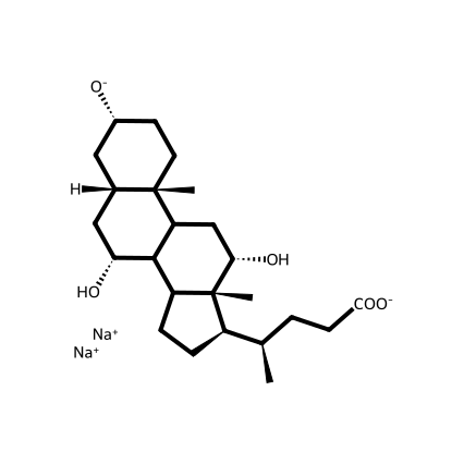 C[C@H](CCC(=O)[O-])[C@H]1CCC2C3C(C[C@H](O)[C@@]21C)[C@@]1(C)CC[C@@H]([O-])C[C@H]1C[C@H]3O.[Na+].[Na+]